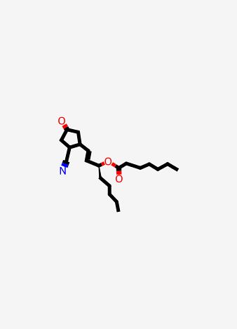 CCCCCCC(=O)O[C@H](C=CC1CC(=O)CC1C#N)CCCCC